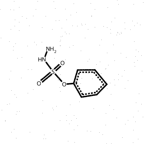 NNS(=O)(=O)Oc1ccccc1